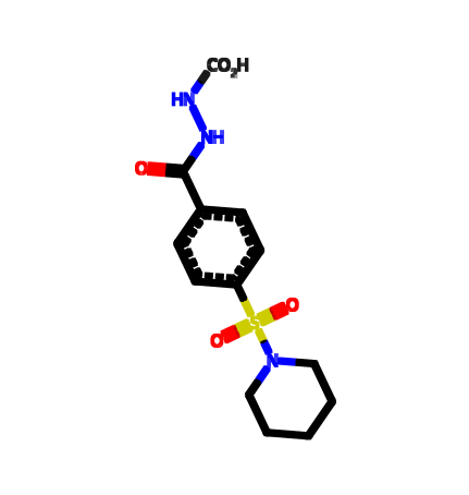 O=C(O)NNC(=O)c1ccc(S(=O)(=O)N2CCCCC2)cc1